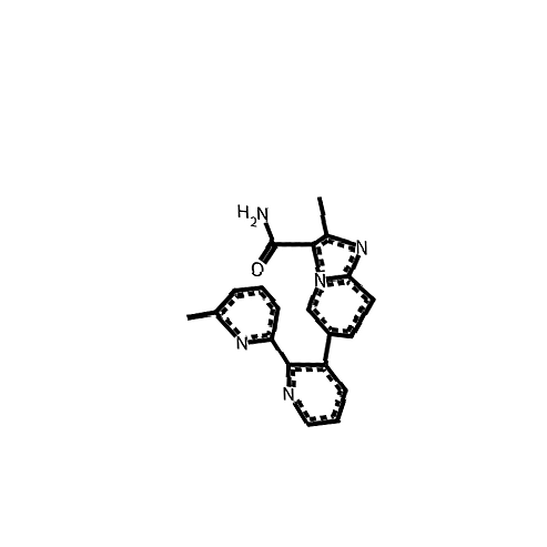 Cc1cccc(-c2ncccc2-c2ccc3nc(C)c(C(N)=O)n3c2)n1